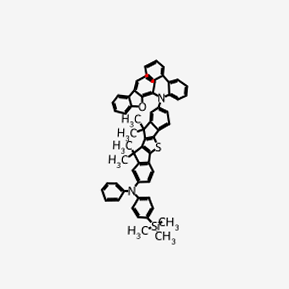 CC1(C)c2cc(N(c3ccccc3)c3ccc([Si](C)(C)C)cc3)ccc2-c2sc3c(c21)C(C)(C)c1cc(N(c2ccccc2-c2ccccc2)c2cccc4c2oc2ccccc24)ccc1-3